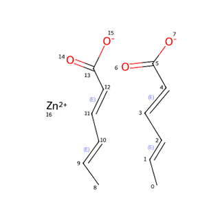 C/C=C/C=C/C(=O)[O-].C/C=C/C=C/C(=O)[O-].[Zn+2]